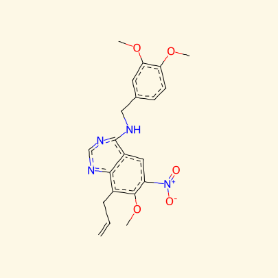 C=CCc1c(OC)c([N+](=O)[O-])cc2c(NCc3ccc(OC)c(OC)c3)ncnc12